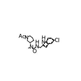 CC(=O)N1CCC[C@@H](N(C)C(=O)NCc2cc3cc(Cl)ccc3[nH]2)C1